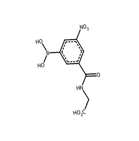 O=C(O)CNC(=O)c1cc(B(O)O)cc([N+](=O)[O-])c1